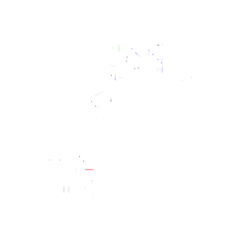 CC(C)(C)OC(=O)N1CC(CCCOc2ccc(SNC(=O)c3ccc(N4C=CC(OCCC5(C(F)(F)F)CC5)N4)nc3Cl)cn2)CC1(C)C